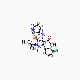 CC(=O)c1c(-c2cccc(F)c2)nn(C(C)C)c(=O)c1Nc1cccnc1